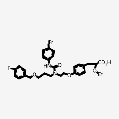 CCOC(Cc1ccc(OCCN(CCCOCc2ccc(F)cc2)C(=O)Nc2ccc(C(C)C)cc2)cc1)C(=O)O